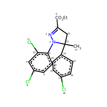 CCOC(=O)C1=NN(c2ccc(Cl)cc2Cl)C(C)(c2ccc(Cl)cc2)C1